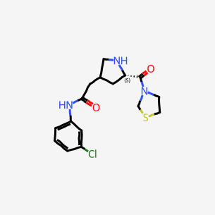 O=C(CC1CN[C@H](C(=O)N2CCSC2)C1)Nc1cccc(Cl)c1